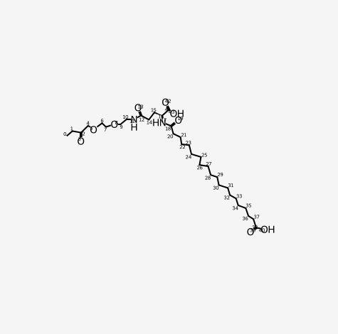 CCC(=O)COCCOCCNC(=O)CC[C@H](NC(=O)CCCCCCCCCCCCCCCCCCC(=O)O)C(=O)O